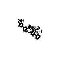 Nc1ncc(-c2ccc(CO)cc2)cc1C(=O)NC1CCN(C(=O)O)C1c1cccc(-c2ccccc2)c1